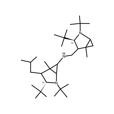 CC(C)CC1[C@@H](C(C)(C)C)N(C(C)(C)C)C2C(NCC3[C@@H](C(C)(C)C)N(C(C)(C)C)C4CC34C)C12C